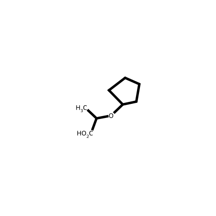 CC(OC1CCCC1)C(=O)O